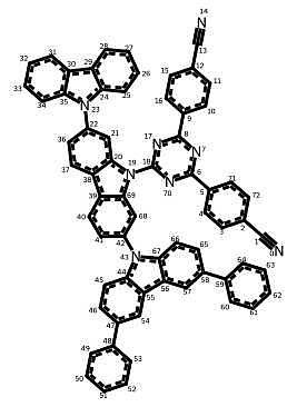 N#Cc1ccc(-c2nc(-c3ccc(C#N)cc3)nc(-n3c4cc(-n5c6ccccc6c6ccccc65)ccc4c4ccc(-n5c6ccc(-c7ccccc7)cc6c6cc(-c7ccccc7)ccc65)cc43)n2)cc1